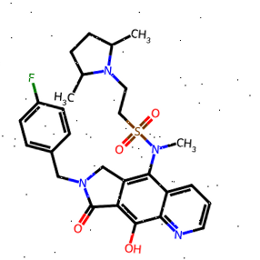 CC1CCC(C)N1CCS(=O)(=O)N(C)c1c2c(c(O)c3ncccc13)C(=O)N(Cc1ccc(F)cc1)C2